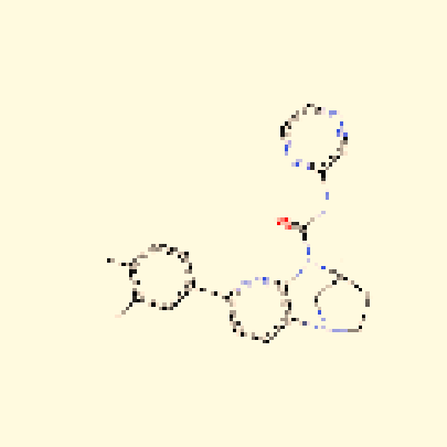 Cc1ccc(-c2ccc3c(n2)N(C(=O)Nc2cnccn2)[C@H]2CCN3C2)cc1C